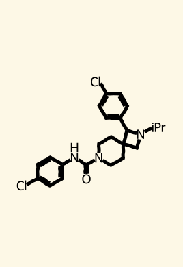 CC(C)N1CC2(CCN(C(=O)Nc3ccc(Cl)cc3)CC2)C1c1ccc(Cl)cc1